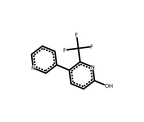 Oc1ccc(-c2cccnc2)c(C(F)(F)F)n1